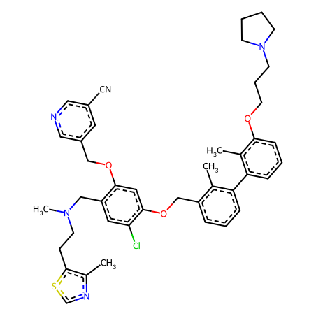 Cc1ncsc1CCN(C)Cc1cc(Cl)c(OCc2cccc(-c3cccc(OCCCN4CCCC4)c3C)c2C)cc1OCc1cncc(C#N)c1